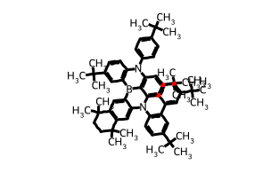 CC(C)(C)c1ccc(N2c3ccc(C(C)(C)C)cc3B3c4cc5c(cc4N(c4ccc(C(C)(C)C)cc4-c4cccc(C(C)(C)C)c4)c4cc(C(C)(C)C)cc2c43)C(C)(C)CCC5(C)C)cc1